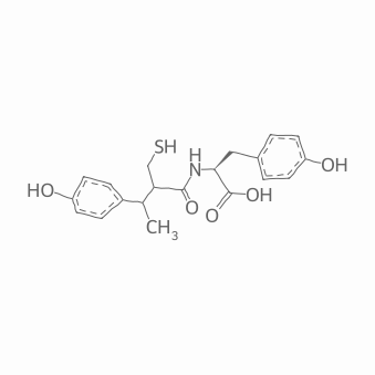 CC(c1ccc(O)cc1)C(CS)C(=O)N[C@@H](Cc1ccc(O)cc1)C(=O)O